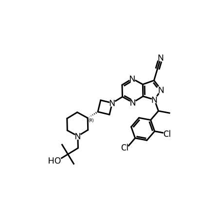 CC(c1ccc(Cl)cc1Cl)n1nc(C#N)c2ncc(N3CC([C@H]4CCCN(CC(C)(C)O)C4)C3)nc21